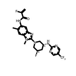 C=C(F)C(=O)Nc1cc2nc(N3C[C@H](F)C[C@@H](Nc4ncc(C(F)(F)F)cn4)C3)n(C)c2cc1C